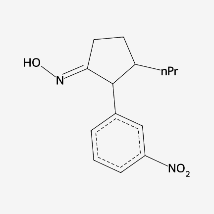 CCCC1CC/C(=N\O)C1c1cccc([N+](=O)[O-])c1